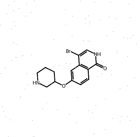 O=c1[nH]cc(Br)c2cc(OC3CCCNC3)ccc12